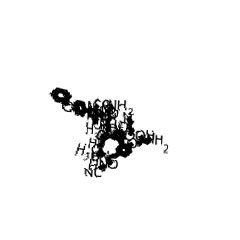 Cc1nc(-c2ccc(OC3CCCCC3)cc2)nc(C)c1C(=O)NC(CNS(N)(=O)=O)C(=O)N(C)C1C(=O)NC(C)C(=O)NC(C(=O)NCC#N)Cc2ccc(OCC(O)CN)c(c2)-c2cc1ccc2OCC(O)CN